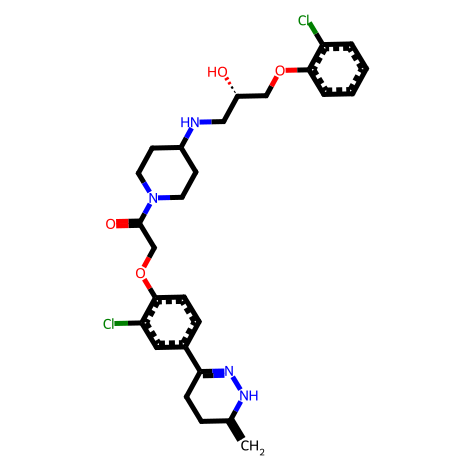 C=C1CCC(c2ccc(OCC(=O)N3CCC(NC[C@H](O)COc4ccccc4Cl)CC3)c(Cl)c2)=NN1